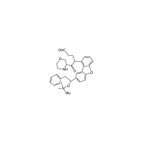 CC(C)(C)[Si](C)(C)OC(Cc1ccccc1)c1ccc2oc3cccc(C(CCC=O)C(=O)C4COCCN4)c3c2c1